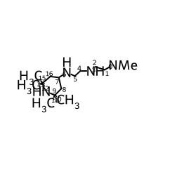 CNCCNCCNC1CC(C)(C)NC(C)(C)C1